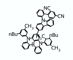 CCCCc1cc(C)cc(N2c3ccccc3B3c4ccccc4N(C4=CC(C)=CC(CCCC)C4C)c4cc(-c5ccc6c(c5)c5ccccc5n6-c5ccccc5-c5ccc(C#N)cc5C#N)cc2c43)c1